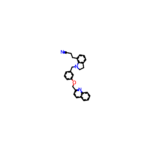 N#CCCc1cccc2c1N(Cc1cccc(OCc3ccc4ccccc4n3)c1)CC2